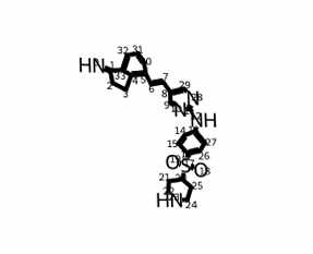 N=C1CCc2c(/C=C/c3cnc(Nc4ccc(S(=O)(=O)C5CCNCC5)cc4)nc3)cccc21